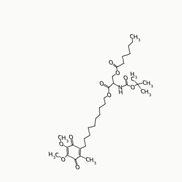 CCCCCCC(=O)OCC(NC(=O)OC(C)(C)C)C(=O)OCCCCCCCCCCC1=C(C)C(=O)C(OC)=C(OC)C1=O